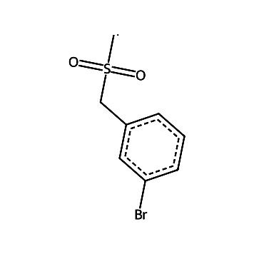 [CH2]S(=O)(=O)Cc1cccc(Br)c1